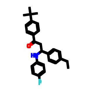 CCc1ccc(C(CC(=O)c2ccc(C(C)(C)C)cc2)Nc2ccc(F)cc2)cc1